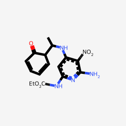 CCOC(=O)Nc1cc(NC(C)C2C=CC=CC2=O)c([N+](=O)[O-])c(N)n1